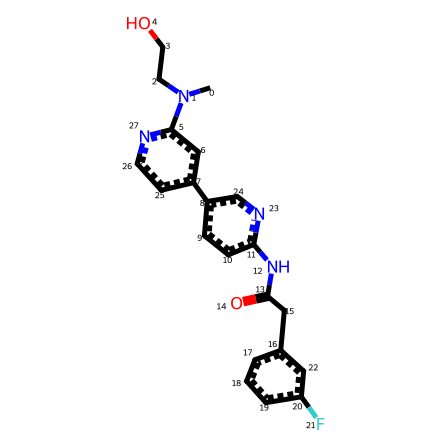 CN(CCO)c1cc(-c2ccc(NC(=O)Cc3cccc(F)c3)nc2)ccn1